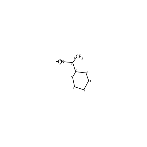 NC(C1CCCCC1)C(F)(F)F